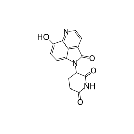 O=C1CCC(N2C(=O)c3ccnc4c(O)ccc2c34)C(=O)N1